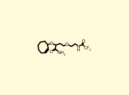 NC(=O)C(CCOCCNC(=O)C(F)(F)F)OC1C#CCCCCC1